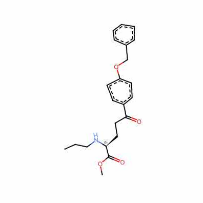 CCCN[C@@H](CCC(=O)c1ccc(OCc2ccccc2)cc1)C(=O)OC